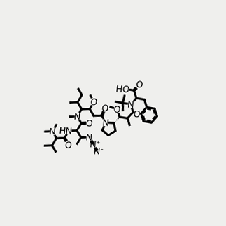 CCC(C)C(C(CC(=O)N1CCC[C@H]1C(OC)C(C)C(=O)N(C(Cc1ccccc1)C(=O)O)C(C)(C)C)OC)N(C)C(=O)C(NC(=O)C(C(C)C)N(C)C)C(C)N=[N+]=[N-]